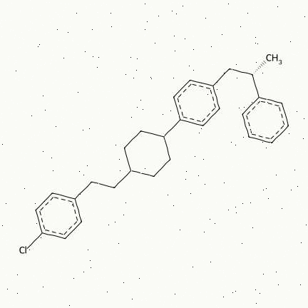 C[C@@H](Cc1ccc(C2CCC(CCc3ccc(Cl)cc3)CC2)cc1)c1ccccc1